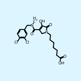 CN(Cc1ccc(Cl)c(Cl)c1)C(=O)C1=C(O)C(=O)N(CCCCCCC(=O)O)C1